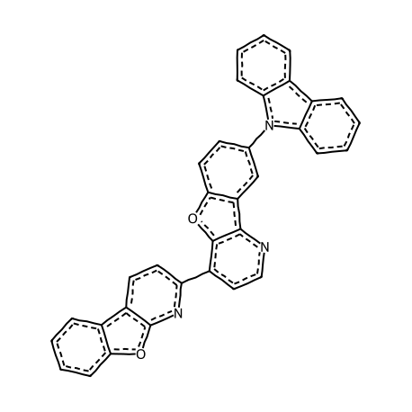 c1ccc2c(c1)oc1nc(-c3ccnc4c3oc3ccc(-n5c6ccccc6c6ccccc65)cc34)ccc12